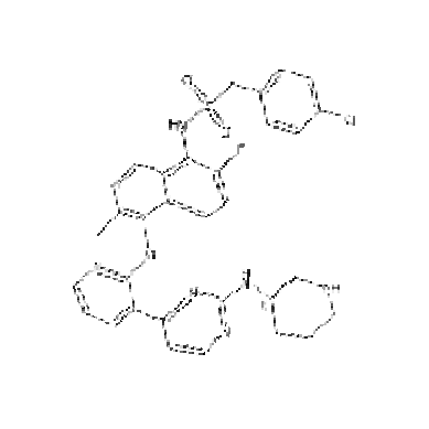 Cc1ccc2c(NS(=O)(=O)Cc3ccc(Cl)cc3)c(F)ccc2c1Oc1ncccc1-c1ccnc(N[C@H]2CCCNC2)n1